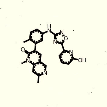 Cc1cc2c(cn1)cc(-c1cc(Nc3noc(-c4cccc(O)n4)n3)ccc1C)c(=O)n2C